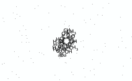 CC[C@H](C)C(=O)O[C@]1(C)[C@H](O)[C@@H](C)[C@]2(O)[C@@H]3C=CC(=O)[C@@]3(O)[C@@H]3OC(C)(C)OC[C@]3(O)[C@@H](C)[C@H]2C1(C)C